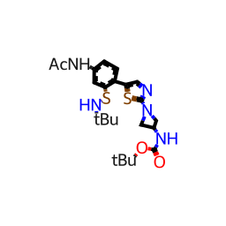 CC(=O)Nc1ccc(-c2cnc(N3CC(NC(=O)OC(C)(C)C)C3)s2)c(SNC(C)(C)C)c1